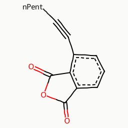 CCCCCC#Cc1cccc2c1C(=O)OC2=O